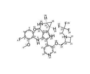 COc1c(F)cccc1Nc1c(-c2ccncc2OC[C@@H]2CCN2CC(F)(F)F)[nH]c2c1C(=O)N[C@H]1C[C@@H]21